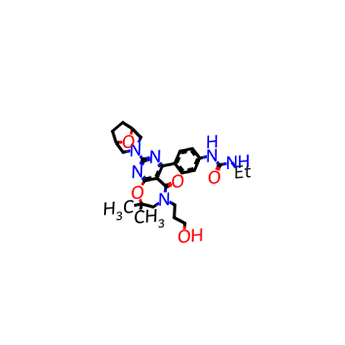 CCNC(=O)Nc1ccc(-c2nc(N3CC4CCC(C3)O4)nc3c2C(=O)N(CCCO)CC(C)(C)O3)cc1